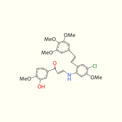 COc1ccc(C(=O)C=CNc2cc(OC)c(Cl)cc2C=Cc2cc(OC)c(OC)c(OC)c2)cc1O